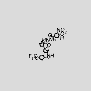 CC(Nc1ccc(-c2ccoc2C(=O)NNC(=O)c2ccc(O)c([N+](=O)[O-])c2)cc1)c1ccc(OC(F)(F)F)cc1